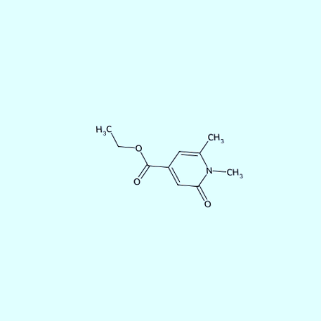 CCOC(=O)c1cc(C)n(C)c(=O)c1